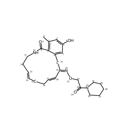 Cc1cc(O)cc2c1C(=O)NCC/C=C/CC/C=C/C(=N\OCC(=O)N1CCCCC1)C2